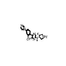 CN(c1cnc(-c2ccc(-n3ccnc3)cc2O)cn1)[C@H]1CCNC[C@@H]1F